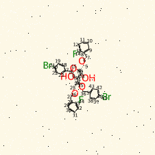 O[C@@H]([C@H](O)[C@@H](COCc1ccccc1F)OCc1ccc(Br)cc1)[C@@H](COCc1ccccc1F)OCc1ccc(Br)cc1